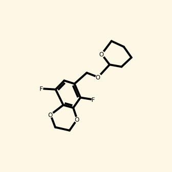 Fc1cc(COC2CCCCO2)c(F)c2c1OCCO2